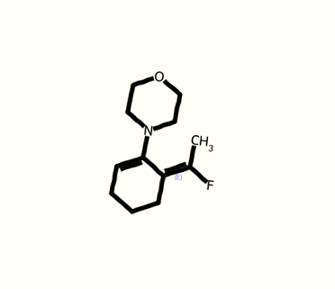 C/C(F)=C1/CCCC=C1N1CCOCC1